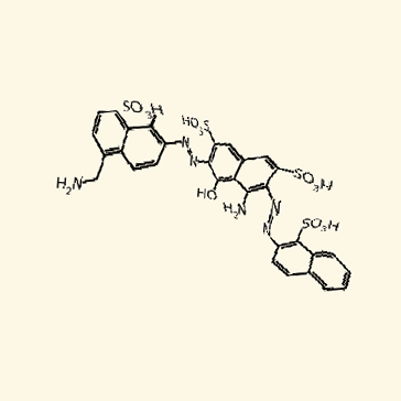 NCc1cccc2c(S(=O)(=O)O)c(N=Nc3c(S(=O)(=O)O)cc4cc(S(=O)(=O)O)c(N=Nc5ccc6ccccc6c5S(=O)(=O)O)c(N)c4c3O)ccc12